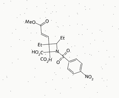 CCC1N(S(=O)(=O)c2ccc([N+](=O)[O-])cc2)C(C(=O)O)(C(=O)O)C1(C=CC(=O)OC)CC